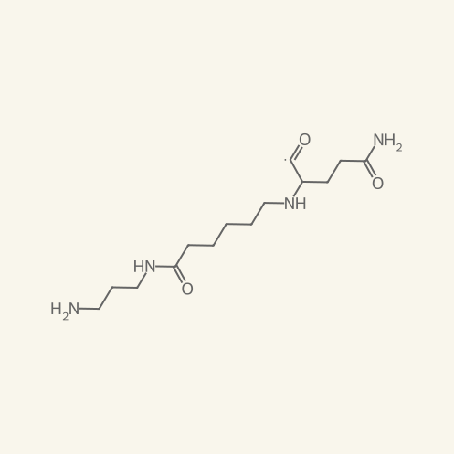 NCCCNC(=O)CCCCCNC([C]=O)CCC(N)=O